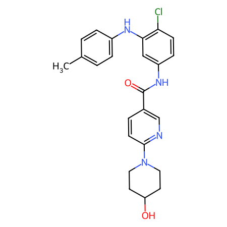 Cc1ccc(Nc2cc(NC(=O)c3ccc(N4CCC(O)CC4)nc3)ccc2Cl)cc1